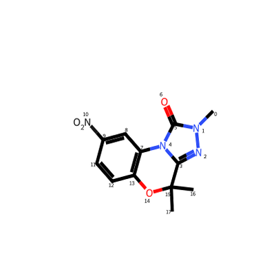 Cn1nc2n(c1=O)-c1cc([N+](=O)[O-])ccc1OC2(C)C